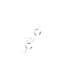 Cc1cc2c(cc1Cl)ncn2Cc1ccc(Cl)cc1